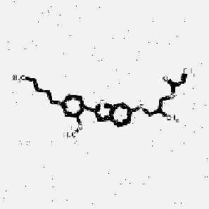 C=CC(=O)OCC(C)CSc1ccc2cc(-c3ccc(CCCCC)cc3OC)oc2c1